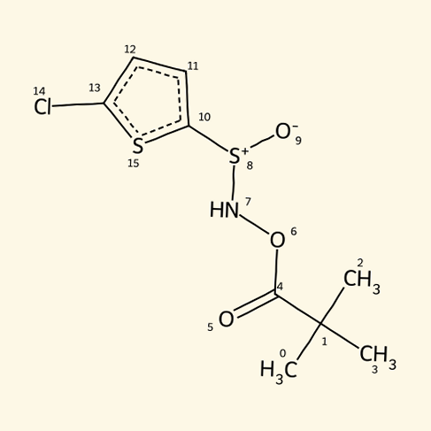 CC(C)(C)C(=O)ON[S+]([O-])c1ccc(Cl)s1